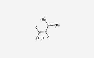 CCCCN(CCCC)/C(C)=C(\C)C(=O)O